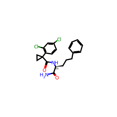 NC(=O)[C@H](CCCc1ccccc1)NC(=O)C1(c2ccc(Cl)cc2Cl)CC1